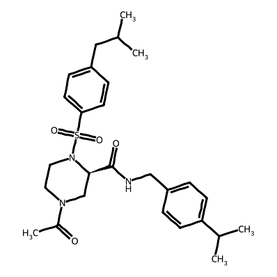 CC(=O)N1CCN(S(=O)(=O)c2ccc(CC(C)C)cc2)[C@@H](C(=O)NCc2ccc(C(C)C)cc2)C1